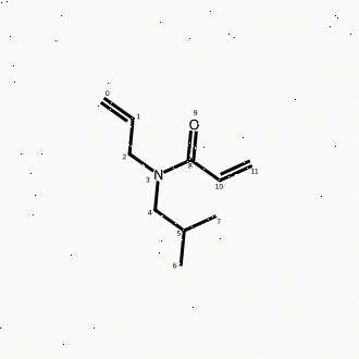 C=CCN(CC(C)C)C(=O)C=C